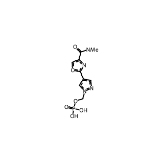 CNC(=O)c1coc(-c2cnn(COP(=O)(O)O)c2)n1